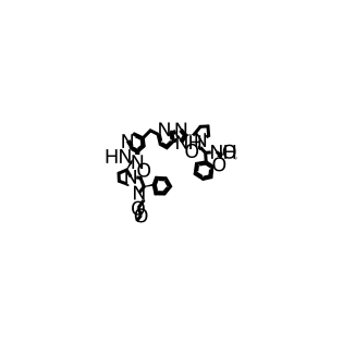 COO/C=N/[C@@H](C(=O)N1CCC[C@H]1c1nc2cc(Cc3ccc4[nH]c([C@@H]5CCCN5C(=O)C(NC(=O)OC)c5ccccc5)nc4n3)cnc2[nH]1)c1ccccc1